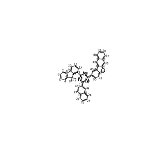 CC1(C)c2ccccc2-c2cccc(-c3nc(-c4ccc5ccccc5c4)nc(-c4ccc5oc6cc7ccccc7cc6c5c4)n3)c21